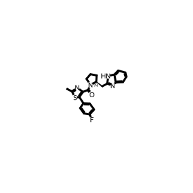 Cc1nc(C(=O)N2CCC[C@H]2Cc2nc3ccccc3[nH]2)c(-c2ccc(F)cc2)s1